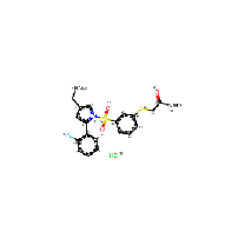 CNCc1cc(-c2ccccc2F)n(S(=O)(=O)c2cccc(SCC(=O)NC)c2)c1.Cl